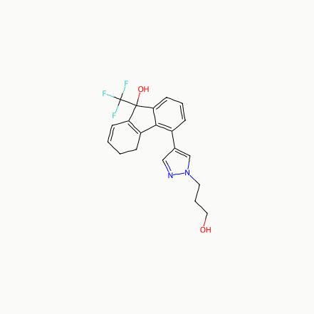 OCCCn1cc(-c2cccc3c2C2=C(C=CCC2)C3(O)C(F)(F)F)cn1